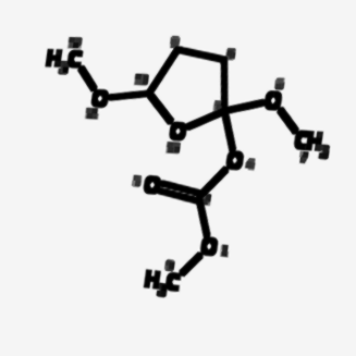 COC(=O)OC1(OC)CCC(OC)O1